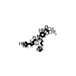 CC1(C)Oc2cc3c(cc2NC1=O)nc(NC(=O)c1ccc(-c2cn[nH]c2)s1)n3CCCn1ccnc1